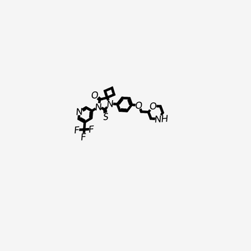 O=C1N(c2cncc(C(F)(F)F)c2)C(=S)N(c2ccc(OCC3CNCCO3)cc2)C12CCC2